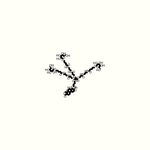 CC(C)[C@]12O[C@H]1C[C@]1(O)[C@]3(O[C@H]3CC3C4=C(CC[C@@]31C)C(=O)OC4)[C@@H]2OC(=O)CCC(=O)NC(COCCC(=O)NCCCNC(=O)CCCCO[C@@H]1O[C@H](CO)[C@@H](O)[C@H](O)[C@H]1O)(COCCC(=O)NCCCNC(=O)CCCCO[C@@H]1O[C@H](CO)[C@@H](O)[C@H](O)[C@H]1O)COCCC(=O)NCCCNC(=O)CCCCO[C@@H]1O[C@H](CO)[C@@H](O)[C@H](O)[C@H]1O